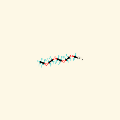 [CH2]C(F)(F)OC(F)(F)C(F)(F)OC(F)(F)C(F)(F)OC(F)(F)C(F)(F)OC(F)(F)C(F)(F)F